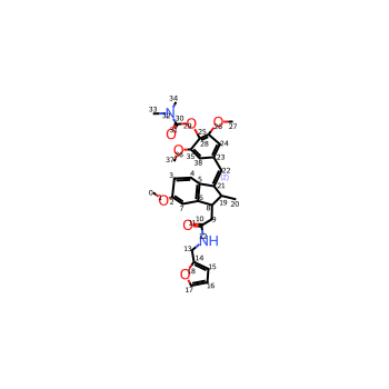 COc1ccc2c(c1)C(CC(=O)NCc1ccco1)C(C)/C2=C/c1cc(OC)c(OC(=O)N(C)C)c(OC)c1